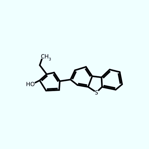 CCc1cc(-c2ccc3c(c2)sc2ccccc23)ccc1O